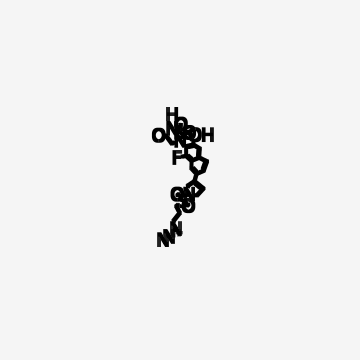 [N-]=[N+]=NCCCS(=O)(=O)N1CC=C(c2ccc3cc(O)c(N4CC(=O)NS4(=O)=O)c(F)c3c2)C1